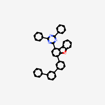 c1ccc(-c2cccc(-c3cccc(-c4ccc(-c5nc(-c6ccccc6)nc(-c6ccccc6)n5)c5c4oc4ccccc45)c3)c2)cc1